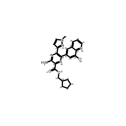 Cn1ccc(-c2nc(N)c(C(=O)OCC3CCCC3)nc2-c2cc(Cl)c3ncccc3c2)n1